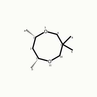 C[C@@H]1C[C@H](C)OCC(C)(C)CO1